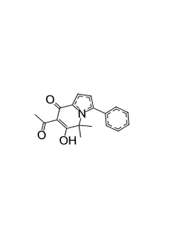 CC(=O)C1=C(O)C(C)(C)n2c(ccc2-c2ccccc2)C1=O